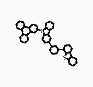 c1cc(-c2ccc3c(c2)c2ccccc2n3-c2ccc3c4ccccc4c4ccccc4c3c2)cc(-c2cccc3c2sc2ccccc23)c1